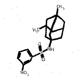 CC12CC3CC(C)(C1)CC(NS(=O)(=O)c1cccc([N+](=O)[O-])c1)(C3)C2